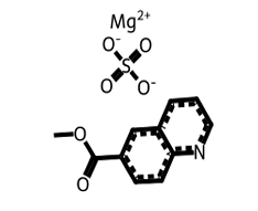 COC(=O)c1ccc2ncccc2c1.O=S(=O)([O-])[O-].[Mg+2]